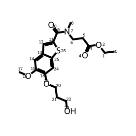 CCOC(=O)CCN(C)C(=O)c1cc2cc(OC)c(OCCCO)cc2s1